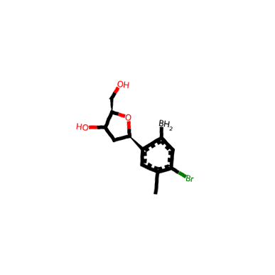 Bc1cc(Br)c(C)cc1[C@H]1CC(O)[C@@H](CO)O1